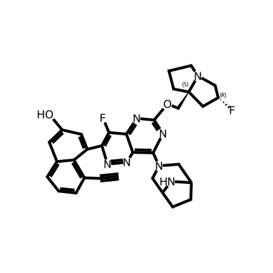 C#Cc1cccc2cc(O)cc(-c3nnc4c(N5CC6CCC(C5)N6)nc(OC[C@@]56CCCN5C[C@H](F)C6)nc4c3F)c12